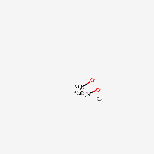 O=[N+]([O-])[O-].O=[N+]([O-])[O-].[Cu].[Cu]